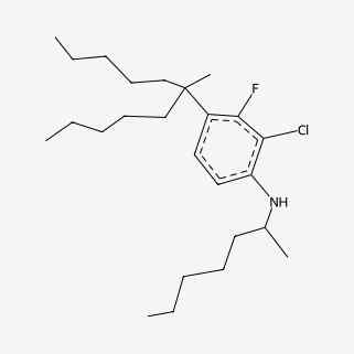 CCCCCC(C)Nc1ccc(C(C)(CCCCC)CCCCC)c(F)c1Cl